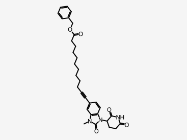 Cn1c(=O)n(C2CCC(=O)NC2=O)c2ccc(C#CCCCCCCCCCC(=O)OCc3ccccc3)cc21